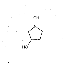 OC1CCN(O)C1